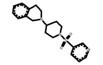 O=S(=O)(c1cccnc1)N1CCC(N2CCc3ccccc3C2)CC1